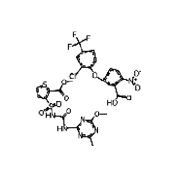 COC(=O)c1sccc1S(=O)(=O)NC(=O)Nc1nc(C)nc(OC)n1.O=C(O)c1cc(Oc2ccc(C(F)(F)F)cc2Cl)ccc1[N+](=O)[O-]